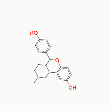 CC1CCC2C(C1)c1cc(O)ccc1OC2c1ccc(O)cc1